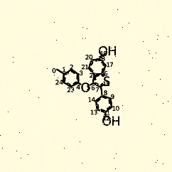 Cc1ccc(Oc2c(-c3ccc(O)cc3)sc3cc(O)ccc23)cc1